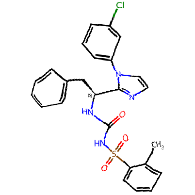 Cc1ccccc1S(=O)(=O)NC(=O)N[C@@H](Cc1ccccc1)c1nccn1-c1cccc(Cl)c1